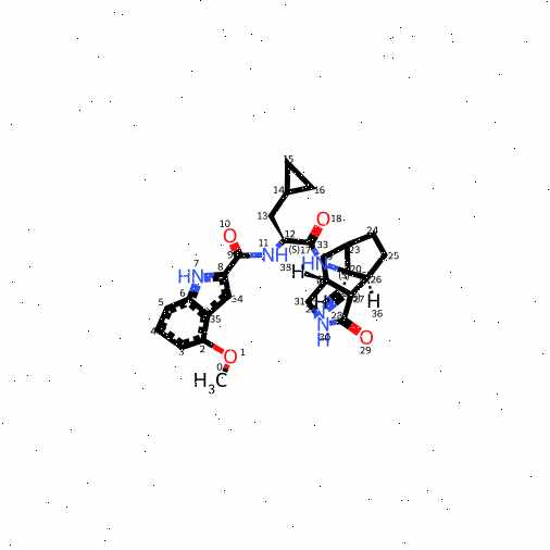 COc1cccc2[nH]c(C(=O)N[C@@H](CC3CC3)C(=O)N[C@@]3(C#N)C4CC[C@H]3[C@H]3C(=O)NC[C@@H]3C4)cc12